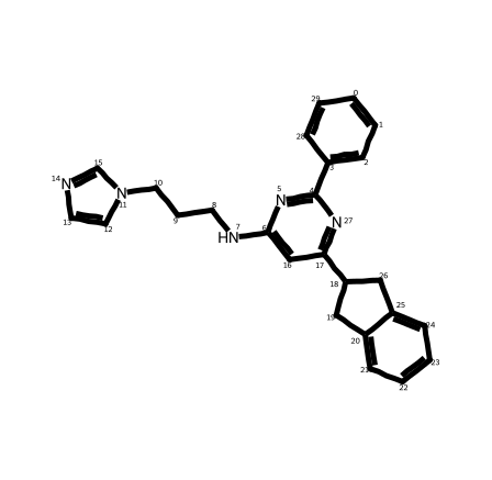 c1ccc(-c2nc(NCCCn3ccnc3)cc(C3Cc4ccccc4C3)n2)cc1